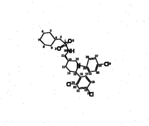 O=S(=O)(CC1CCCCC1)NC[C@@H]1CCC(c2ccc(Cl)cc2Cl)N(c2ccc(Cl)cc2)C1